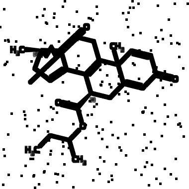 CCC(C)OC(=O)[C@@H]1CC2=CC(=O)C=CC2(C)C2=C1C1=CC[C@@]3(C)CCC(=O)C13CC2